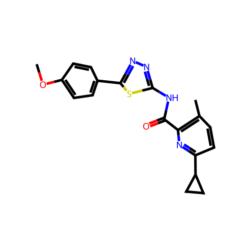 COc1ccc(-c2nnc(NC(=O)c3nc(C4CC4)ccc3C)s2)cc1